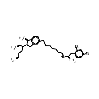 C=CCCC(C=C)N1Cc2cc(CCCCCCCNC(=C)Cc3ccc(CC)cc3CC)ccc2C1=C